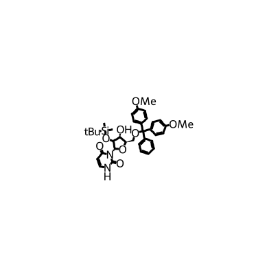 COc1ccc(C(OC[C@H]2O[C@@H](n3c(=O)cc[nH]c3=O)C(O[Si](C)(C)C(C)(C)C)[C@H]2O)(c2ccccc2)c2ccc(OC)cc2)cc1